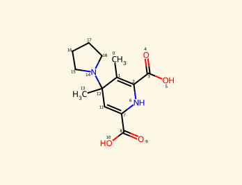 CC1=C(C(=O)O)NC(C(=O)O)=CC1(C)N1CCCC1